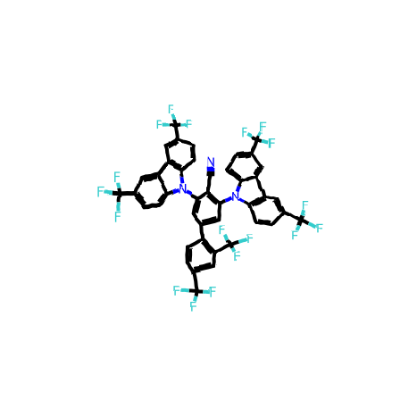 N#Cc1c(-n2c3ccc(C(F)(F)F)cc3c3cc(C(F)(F)F)ccc32)cc(-c2ccc(C(F)(F)F)cc2C(F)(F)F)cc1-n1c2ccc(C(F)(F)F)cc2c2cc(C(F)(F)F)ccc21